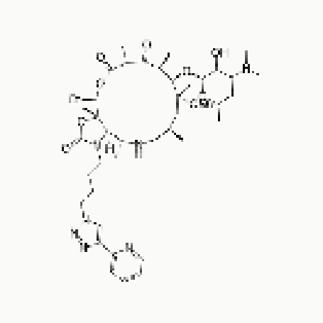 CC[C@H]1OC(=O)C(C)C(=O)[C@@H](C)[C@@H](O[C@@H]2O[C@H](C)CC(N(C)C)C2O)[C@](C)(OC)C[C@@H](C)CN[C@H](C)[C@H]2N(CCCCn3cc(-c4ccccn4)nn3)C(=O)O[C@]12C